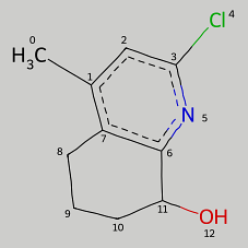 Cc1cc(Cl)nc2c1CCCC2O